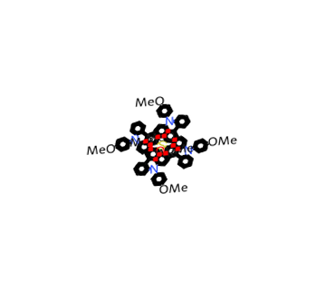 COc1ccc(N(c2ccc(OC)cc2)c2ccccc2-c2ccc3c(c2)-c2cc(-c4ccccc4N(c4ccc(OC)cc4)c4ccc(OC)cc4)ccc2S32(=O)c3ccc(-c4ccccc4N(c4ccc(OC)cc4)c4ccc(OC)cc4)cc3-c3cc(-c4ccccc4N(c4ccc(OC)cc4)c4ccc(OC)cc4)ccc32)cc1